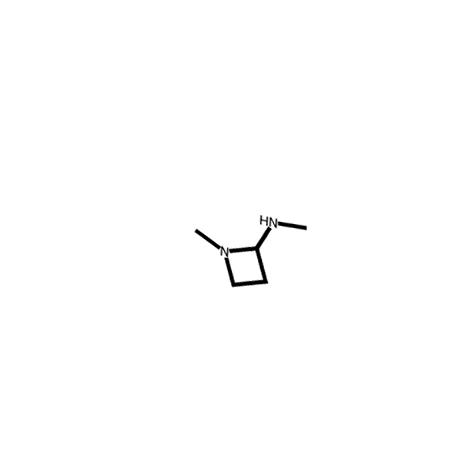 CNC1CCN1C